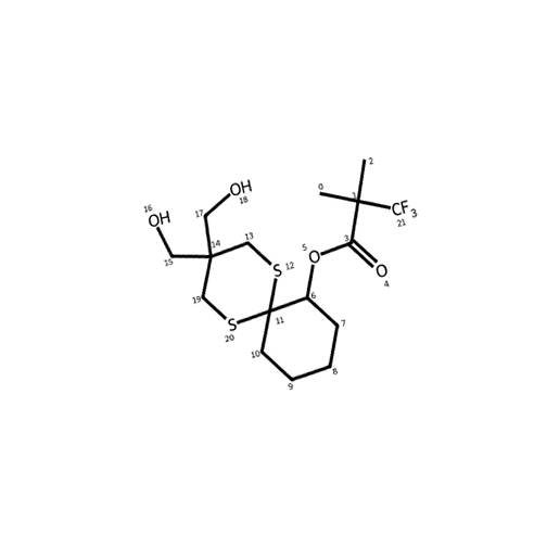 CC(C)(C(=O)OC1CCCCC12SCC(CO)(CO)CS2)C(F)(F)F